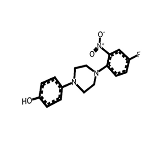 O=[N+]([O-])c1cc(F)ccc1N1CCN(c2ccc(O)cc2)CC1